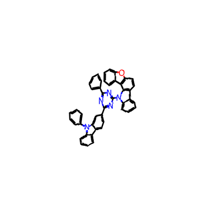 c1ccc(-c2nc(-c3ccc4c5ccccc5n(-c5ccccc5)c4c3)nc(-n3c4ccccc4c4ccc5oc6ccccc6c5c43)n2)cc1